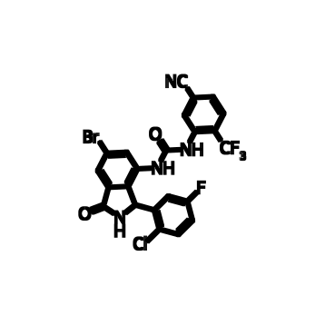 N#Cc1ccc(C(F)(F)F)c(NC(=O)Nc2cc(Br)cc3c2C(c2cc(F)ccc2Cl)NC3=O)c1